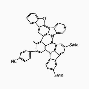 CSc1ccc2c(c1)c1cc(SC)cc3c1n2-c1cc(-c2ccc(C#N)cc2)c(C)c2c1B3n1c3ccccc3c3c4oc5ccccc5c4cc-2c31